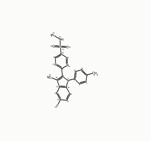 Cc1ccc(-n2c(-c3ncc(S(=O)(=O)NC(C)C)cn3)c(C#N)c3cc(F)ccc32)cc1